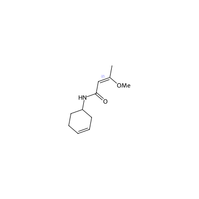 CO/C(C)=C\C(=O)NC1CC=CCC1